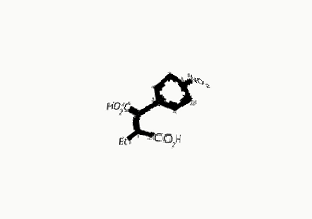 CC/C(C(=O)O)=C(\C(=O)O)c1ccc([N+](=O)[O-])cc1